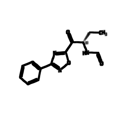 CC[C@H](NC=O)C(=O)c1nc(-c2ccccc2)no1